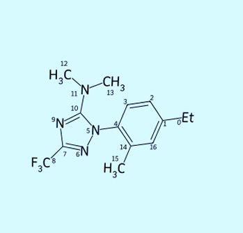 CCc1ccc(-n2nc(C(F)(F)F)nc2N(C)C)c(C)c1